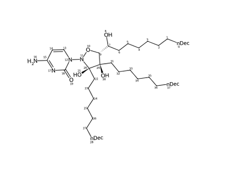 CCCCCCCCCCCCCCCCC(O)[C@H]1ON(n2ccc(N)nc2=O)[C@@](O)(CCCCCCCCCCCCCCCC)[C@@]1(O)CCCCCCCCCCCCCCCC